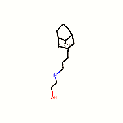 CC1C2CCCC1CC(CCCNCCO)C2